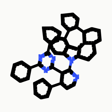 c1ccc(-c2nc(-c3ccccc3)nc(-c3c(-c4ccccc4)ccnc3-n3c4cccc5c4c4c6c(cccc6ccc43)-c3ccccc3-5)n2)cc1